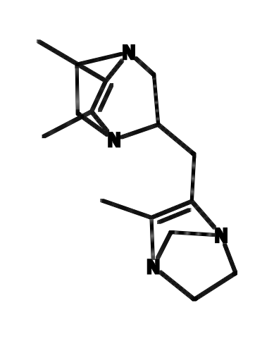 CC1=C(CC2CN3CCN2C(C)=C3C)N2CCN1C2